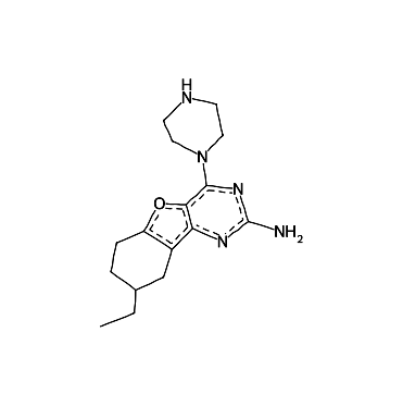 CCC1CCc2oc3c(N4CCNCC4)nc(N)nc3c2C1